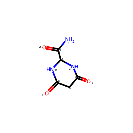 NC(=O)C1NC(=O)CC(=O)N1